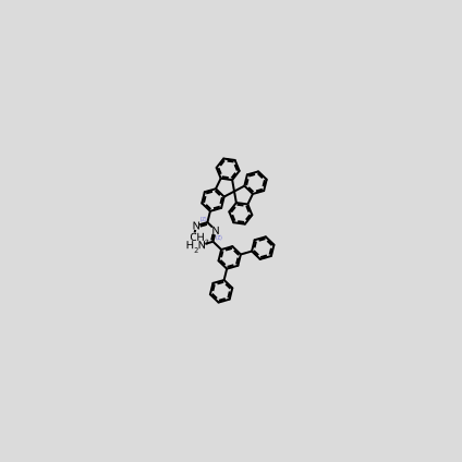 C/N=C(\N=C(/N)c1cc(-c2ccccc2)cc(-c2ccccc2)c1)c1ccc2c(c1)C1(c3ccccc3-c3ccccc31)c1ccccc1-2